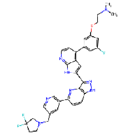 CN(C)CCOc1cc(F)cc(-c2ccnc3[nH]c(-c4n[nH]c5ccc(-c6cncc(CN7CCC(F)(F)C7)c6)nc45)cc23)c1